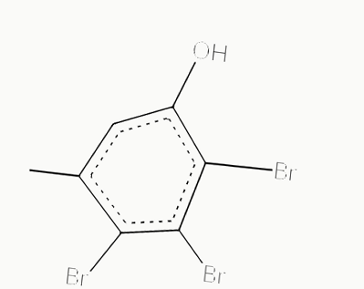 Cc1cc(O)c(Br)c(Br)c1Br